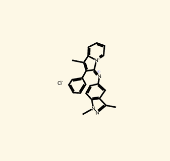 CC1=C(c2ccccc2)/C(=N\c2ccc3c(c2)c(C)nn3C)[n+]2ccccc21.[Cl-]